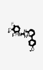 COc1ccc(-c2cccc3nc(Nc4ccc(F)c(OC)c4F)nn23)cc1